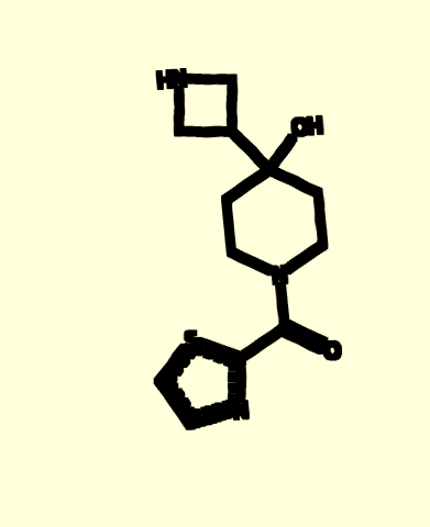 O=C(c1nccs1)N1CCC(O)(C2CNC2)CC1